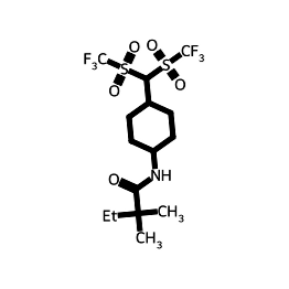 CCC(C)(C)C(=O)NC1CCC(C(S(=O)(=O)C(F)(F)F)S(=O)(=O)C(F)(F)F)CC1